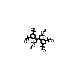 CCOC(=O)CC(=C1C=C(C(C)(C)C=O)CC(C(C)(C)C=O)=C1)C(CC(=O)OCC)=C1C=C(C(C)(C)C=O)CC(C(C)(C)C=O)=C1